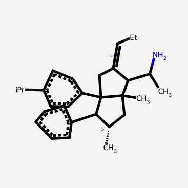 CC/C=C1/CC2(c3ccc(C(C)C)cc3)C(c3ccccc3)[C@@H](C)CC2(C)C1C(C)N